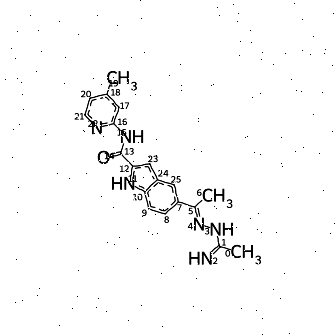 CC(=N)N/N=C(\C)c1ccc2[nH]c(C(=O)Nc3cc(C)ccn3)cc2c1